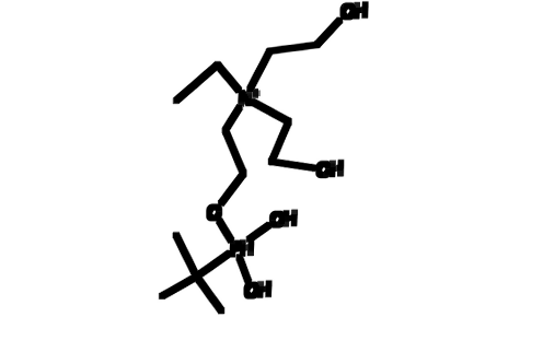 CC[N+](CCO)(CCO)CCO[PH](O)(O)C(C)(C)C